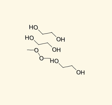 COOC.OCCO.OCCO.OCCO